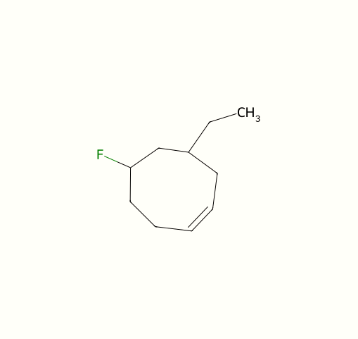 CCC1CC=CCCC(F)C1